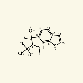 CNC(C(Cl)(Cl)Cl)C(C)(O)c1ccc2ccsc2c1